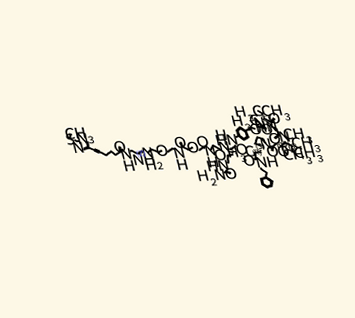 CC[C@H](C)[C@@H]([C@@H](CC(=O)N1CCC[C@H]1C[C@@H](C)C(=O)NCCc1ccccc1)OC)N(C)C(=O)CNC(=O)[C@H](C(C)C)N(C)C(=O)OCc1ccc(NC(=O)[C@H](CCCNC(N)=O)NC(=O)CNC(=O)COCC(=O)NCCOCCN/C=C(\N)CNC(=O)CCCC#Cc2cnc(SC)nc2)cc1